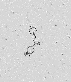 O=C(CCN1CCOCC1)C1CCNCC1